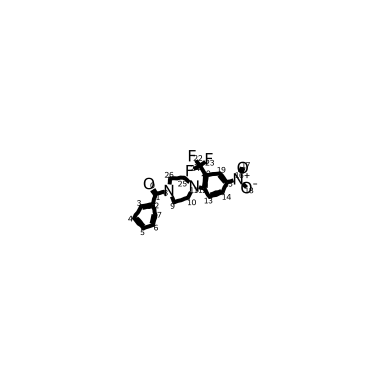 O=C(c1ccccc1)N1CCN(c2ccc([N+](=O)[O-])cc2C(F)(F)F)CC1